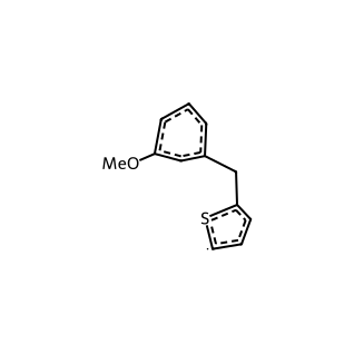 COc1cccc(Cc2cc[c]s2)c1